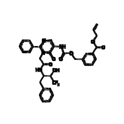 C=CCOC(=O)c1cccc(COC(=O)Nc2cnc(-c3ccccc3)n(CC(=O)NC(Cc3ccccc3)C(O)C(F)(F)F)c2=O)c1